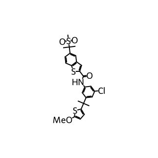 COc1ccc(C(C)(C)c2cc(Cl)cc(NC(=O)c3cc4cc(C(C)(C)S(C)(=O)=O)ccc4s3)c2)s1